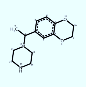 CC(c1ccc2c(c1)OCCO2)N1CCNCC1